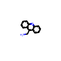 NCc1c2ccccc2nc2ccccc12